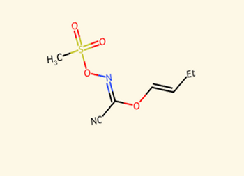 CCC=COC(C#N)=NOS(C)(=O)=O